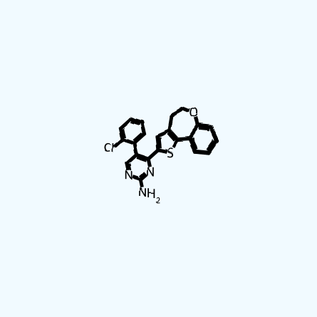 Nc1ncc(-c2ccccc2Cl)c(-c2cc3c(s2)-c2ccccc2OCC3)n1